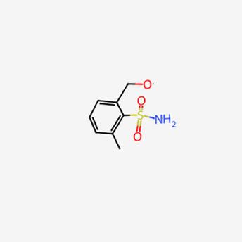 Cc1cccc(C[O])c1S(N)(=O)=O